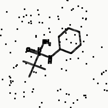 B[SH](=O)(NC1CCCCC1)C(C)(C)C